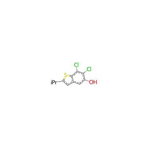 CC(C)c1cc2cc(O)c(Cl)c(Cl)c2s1